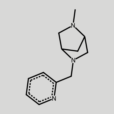 CN1CC2CC1CN2Cc1ccccn1